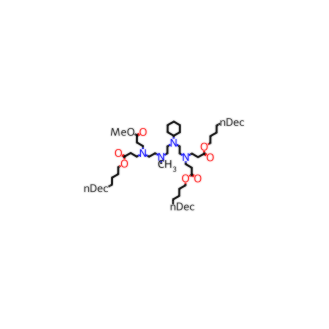 CCCCCCCCCCCCCCOC(=O)CCN(CCC(=O)OC)CCN(C)CCN(CCN(CCC(=O)OCCCCCCCCCCCCCC)CCC(=O)OCCCCCCCCCCCCCC)C1CCCCC1